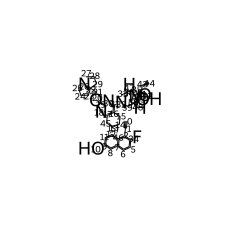 C#Cc1c(F)ccc2cc(O)cc([C@H]3CCc4c(nc(OCC56CCCN5CCC6)nc4N4C[C@H]5C[C@H](O)[C@@H](C4)N5C(=O)C=C)C3)c12